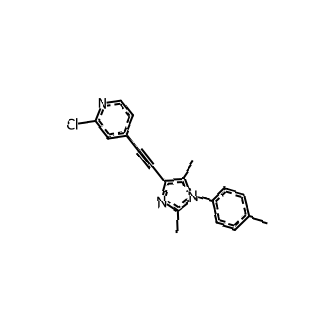 Cc1ccc(-n2c(C)nc(C#Cc3ccnc(Cl)c3)c2C)cc1